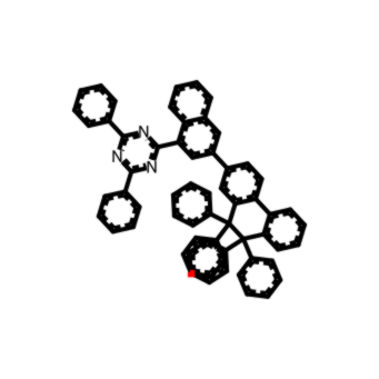 c1ccc(-c2nc(-c3ccccc3)nc(-c3cc(-c4ccc5c(c4)C(c4ccccc4)(c4ccccc4)C(c4ccccc4)(c4ccccc4)c4ccccc4-5)cc4ccccc34)n2)cc1